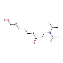 CC(C)N(CCC(=O)SCCCOCO)C(C)C